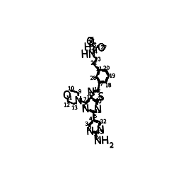 Nc1ncc(-c2nc(N3CCOCC3)c3nc(-c4cccc(CCN[SH](=O)=O)c4)sc3n2)cn1